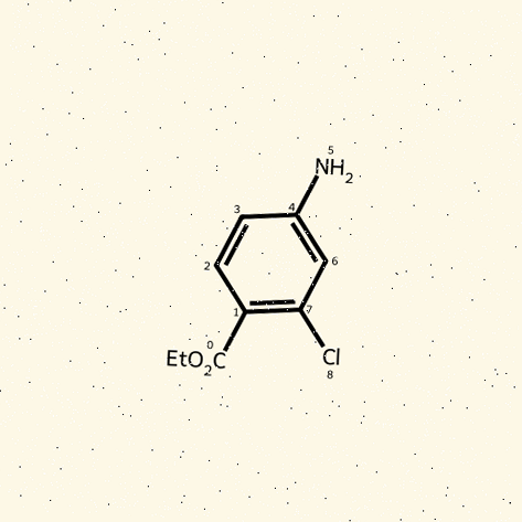 CCOC(=O)c1ccc(N)cc1Cl